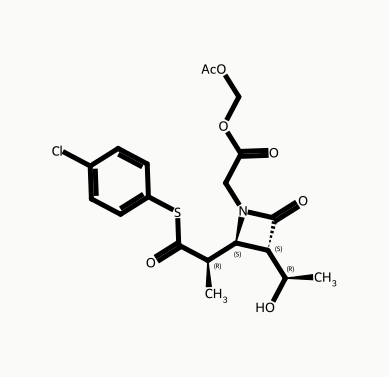 CC(=O)OCOC(=O)CN1C(=O)[C@H]([C@@H](C)O)[C@H]1[C@@H](C)C(=O)Sc1ccc(Cl)cc1